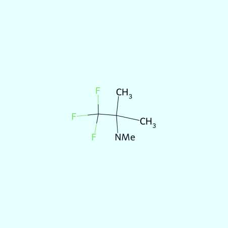 CNC(C)(C)C(F)(F)F